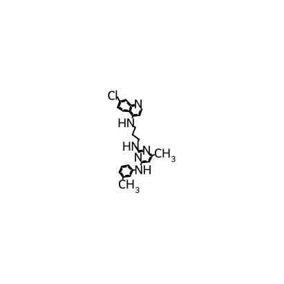 Cc1cccc(Nc2cc(C)nc(NCCCNc3ccnc4cc(Cl)ccc34)n2)c1